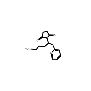 O=C(O)CCCC(Sc1ccccn1)N1C(=O)CCC1=O